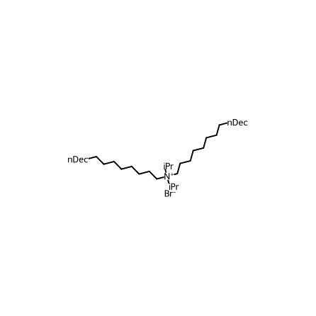 CCCCCCCCCCCCCCCCCC[N+](CCCCCCCCCCCCCCCCCC)(C(C)C)C(C)C.[Br-]